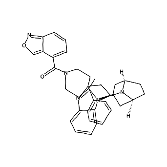 Cc1nc2ccccc2n1[C@H]1C[C@H]2CC[C@@H](C1)N2CCC1(c2ccccc2)CCN(C(=O)c2cccc3nocc23)CC1